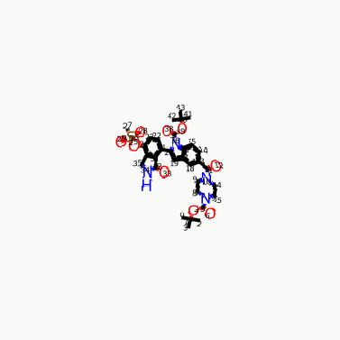 CC(C)(C)OC(=O)N1CCN(C(=O)c2ccc3c(c2)cc(-c2ccc(OS(C)(=O)=O)c4c2C(=O)NC4)n3C(=O)OC(C)(C)C)CC1